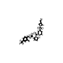 N#CC1CN(S(=O)(=O)N2CCN[C@H](C(=O)N3CCC[C@@H]3C(=O)NCc3ccc(C(F)(F)F)cc3F)C2)C1